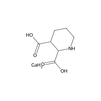 O=C(O)C1CCCNC1C(=O)O.[GaH3]